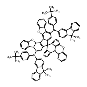 CC(C)(C)c1ccc(N(C2=CC3=C(c4c(cc(N(c5ccc(C(C)(C)C)cc5)c5ccc6c(c5)-c5ccccc5C6(C)C)c5c4oc4ccccc45)C34c3ccccc3N3c5ccccc5Oc5cccc4c53)C3Oc4ccccc4C23)c2ccc3c(c2)-c2ccccc2C3(C)C)cc1